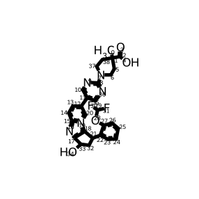 CC1(C(=O)O)CCN(c2ncc(-c3ccc4nc5c(n4c3)C(c3ccccc3OC(F)F)CC5O)cn2)CC1